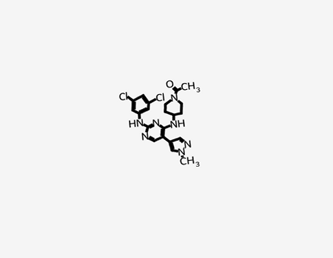 CC(=O)N1CCC(Nc2nc(Nc3cc(Cl)cc(Cl)c3)ncc2-c2cnn(C)c2)CC1